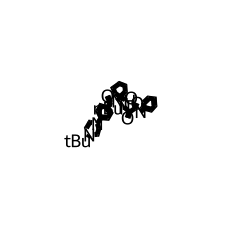 CCCCN(C(=O)c1nc2ccccc2o1)C(=O)C1(NC(=O)c2ccc(N3CCN(C(C)(C)C)CC3)cc2)CCCCC1